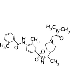 Cc1cc(S(=O)(=O)NC(C)C2CCN(CC(=O)N(C)C)CC2)ccc1NC(=O)c1ccccc1C